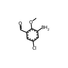 Bc1cc(Cl)cc(C=O)c1OC